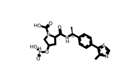 Cc1ncsc1-c1ccc([C@H](C)NC(=O)C2CC(O[PH](=O)O)CN2C(=O)O)cc1